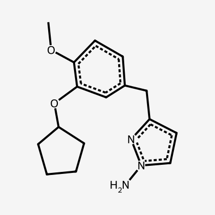 COc1ccc(Cc2ccn(N)n2)cc1OC1CCCC1